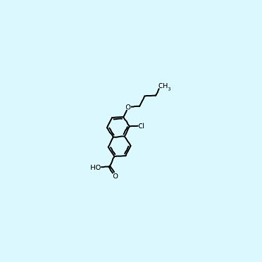 CCCCOc1ccc2cc(C(=O)O)ccc2c1Cl